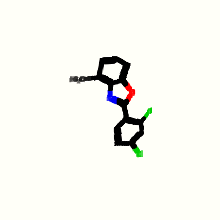 O=C(O)c1cccc2oc(-c3ccc(Cl)cc3Cl)nc12